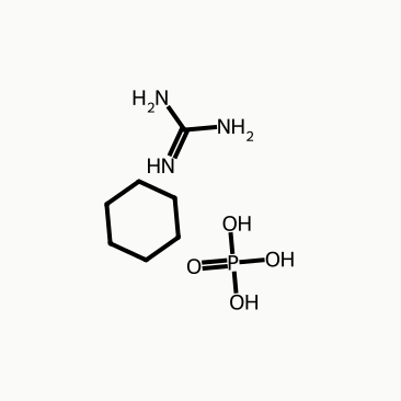 C1CCCCC1.N=C(N)N.O=P(O)(O)O